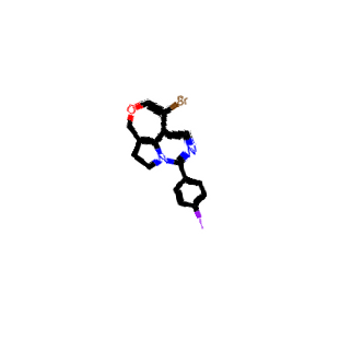 BrC1=COCC2=C3C1=CN=C(c1ccc(I)cc1)N3CC2